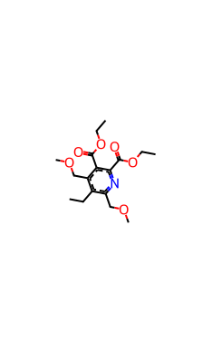 CCOC(=O)c1nc(COC)c(CC)c(COC)c1C(=O)OCC